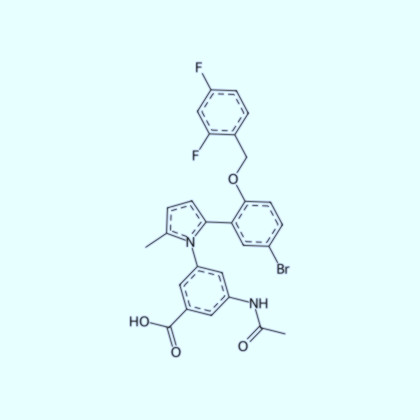 CC(=O)Nc1cc(C(=O)O)cc(-n2c(C)ccc2-c2cc(Br)ccc2OCc2ccc(F)cc2F)c1